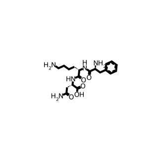 NCCCC[C@H](NC(=O)[C@@H](N)Cc1ccccc1)C(=O)N[C@@H](CC(N)=O)C(=O)O